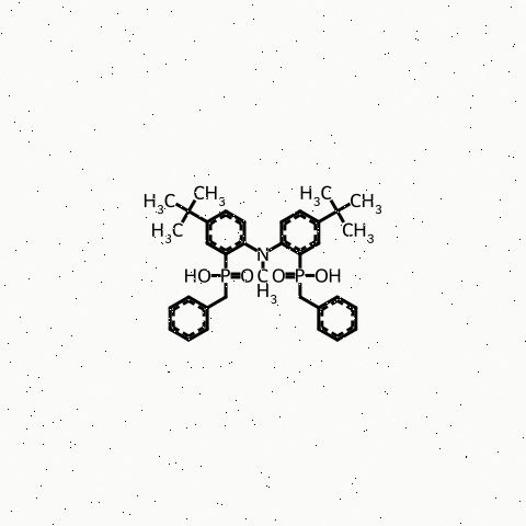 CN(c1ccc(C(C)(C)C)cc1P(=O)(O)Cc1ccccc1)c1ccc(C(C)(C)C)cc1P(=O)(O)Cc1ccccc1